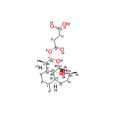 CC1CC[C@H]2[C@@H](C)[C@H](OC(=O)CCC(=O)O)O[C@@H]3O[C@@]4(C)CC[C@@H]1[C@]32OO4